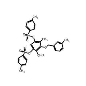 Cc1ccc(S(=O)(=O)Oc2cc(OS(=O)(=O)c3ccc(C)cc3)c(C=O)c(OCc3cccc(C)c3)c2C)cc1